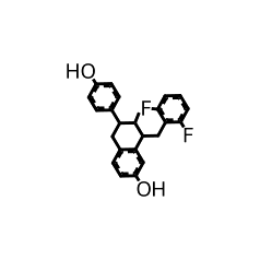 CC1C(c2ccc(O)cc2)Cc2ccc(O)cc2C1Cc1c(F)cccc1F